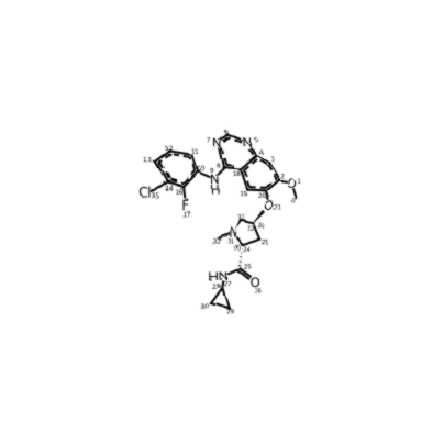 COc1cc2ncnc(Nc3cccc(Cl)c3F)c2cc1O[C@H]1C[C@H](C(=O)NC2CC2)N(C)C1